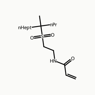 C=CC(=O)NCCS(=O)(=O)C(C)(CCC)CCCCCCC